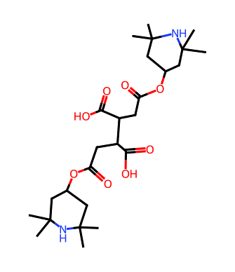 CC1(C)CC(OC(=O)CC(C(=O)O)C(CC(=O)OC2CC(C)(C)NC(C)(C)C2)C(=O)O)CC(C)(C)N1